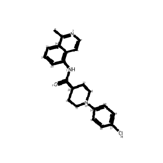 Cc1nccc2c(NC(=O)C3CCN(c4ccc(Cl)cc4)CC3)cccc12